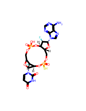 Nc1ncnc2c1ncn2[C@@H]1O[C@@H]2COP(=O)(S)O[C@@H]3[C@H](F)C(COP(=O)(O)O[C@H]2[C@H]1F)O[C@H]3n1ccc(=O)[nH]c1=O